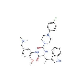 COc1ccc(CN(C)C)cc1NC(=O)[C@H](NC(=O)N1CCN(c2ccc(Cl)cc2)CC1)[C@@H](C)c1c[nH]c2ccccc12